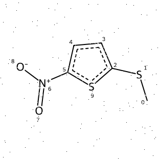 CSc1ccc([N+](=O)[O-])s1